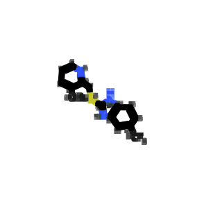 CC(C)COc1cccnc1CSc1nc2cc(C(F)(F)F)ccc2[nH]1